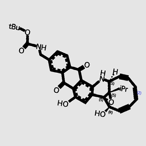 CC(C)[C@@]12O[C@]13c1cc(O)c4c(c1N[C@H]2C#C/C=C\C#C[C@H]3O)C(=O)c1ccc(CNC(=O)OC(C)(C)C)cc1C4=O